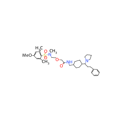 COc1cc(C)c(S(=O)(=O)N(C)CCOCC(=O)NCC2CCC(C(CCc3ccccc3)N3CCCC3)CC2)c(C)c1